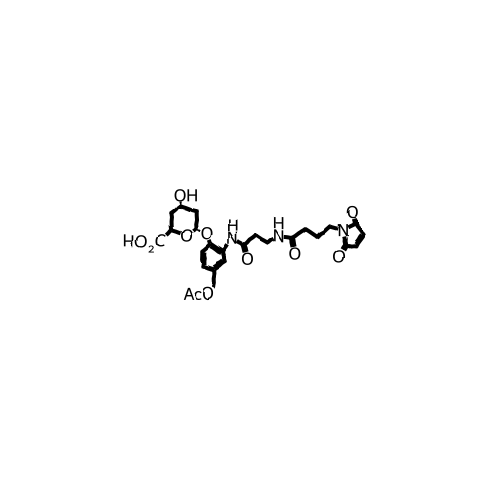 CC(=O)OCc1ccc(O[C@H]2C[C@@H](O)CC(C(=O)O)O2)c(NC(=O)CCNC(=O)CCCN2C(=O)C=CC2=O)c1